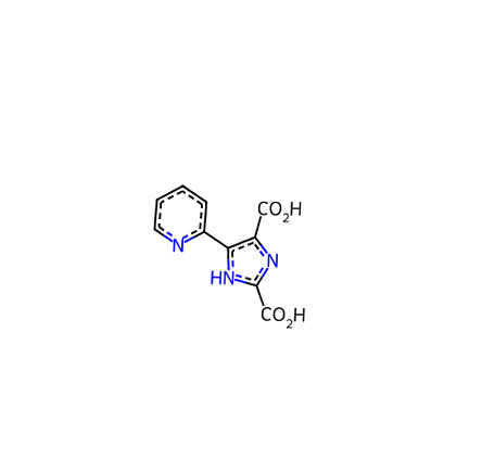 O=C(O)c1nc(C(=O)O)c(-c2ccccn2)[nH]1